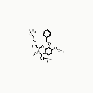 COCCCNC(=O)N(C)C(=O)c1cc(OCc2ccccc2)c(OC)cc1C(F)(F)F